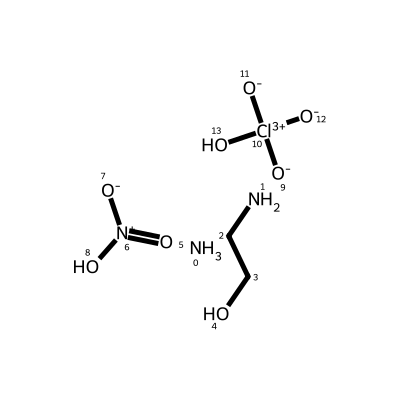 N.NCCO.O=[N+]([O-])O.[O-][Cl+3]([O-])([O-])O